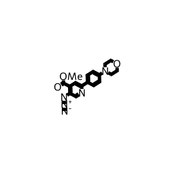 COC(=O)c1cc(-c2ccc(N3CCOCC3)cc2)ncc1N=[N+]=[N-]